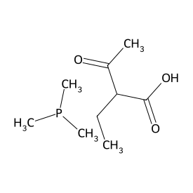 CCC(C(C)=O)C(=O)O.CP(C)C